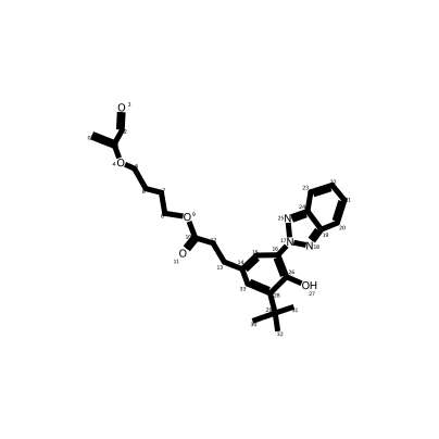 C=C(C=O)OCCCCOC(=O)CCc1cc(-n2nc3ccccc3n2)c(O)c(C(C)(C)C)c1